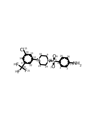 Nc1ccc(S(=O)(=O)N2CCN(c3cc(Cl)cc(C(F)(F)F)c3)CC2)cc1